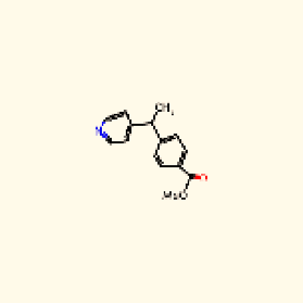 COC(=O)c1ccc(C(C)c2ccncc2)cc1